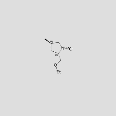 [CH2-][NH+]1C[C@H](C)C[C@H]1COCC